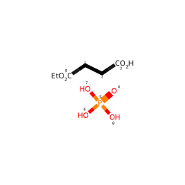 CCOC(=O)CCC(=O)O.O=P(O)(O)O